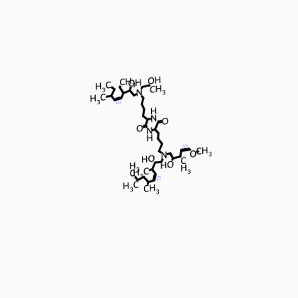 CCC(C)/C=C\C(CC)C(O)CN(CCCCC1NC(=O)C(CCCCN(CC(O)C(C)/C=C\OC)CC(O)C(C)/C=C\C(C)CC(C)C)NC1=O)CC(C)O